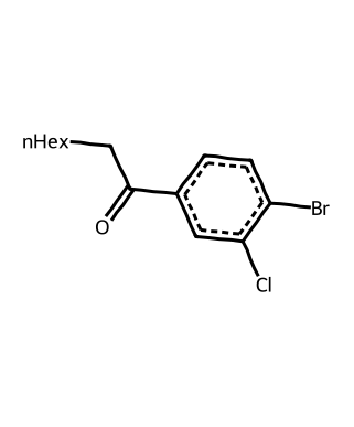 CCCCCCCC(=O)c1ccc(Br)c(Cl)c1